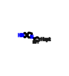 CCCCCCCCC(CCC)N1CCC2(CNC2)C1